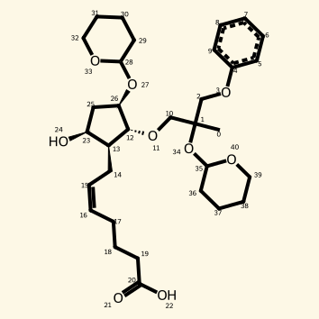 CC(COc1ccccc1)(CO[C@@H]1[C@@H](C/C=C\CCCC(=O)O)[C@@H](O)C[C@H]1OC1CCCCO1)OC1CCCCO1